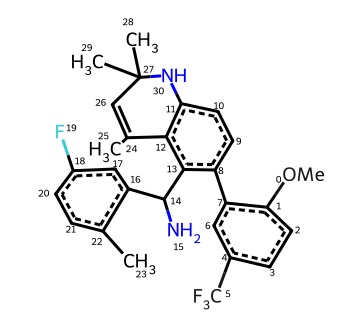 COc1ccc(C(F)(F)F)cc1-c1ccc2c(c1C(N)c1cc(F)ccc1C)C(C)=CC(C)(C)N2